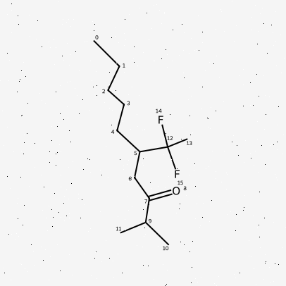 CCCCCC(CC(=O)C(C)C)C(C)(F)F